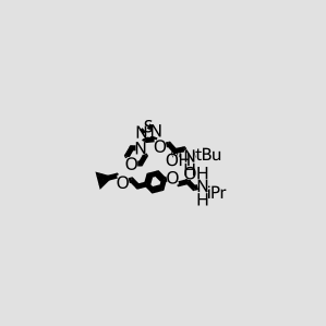 CC(C)(C)NC[C@H](O)COc1nsnc1N1CCOCC1.CC(C)NCC(O)COc1ccc(CCOCC2CC2)cc1